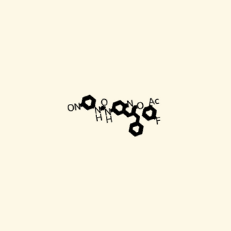 CC(=O)c1cc(F)ccc1Oc1nc2ccc(NC(=O)Nc3cccc(N=O)c3)cc2cc1Cc1ccccc1